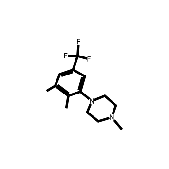 Cc1cc(C(F)(F)F)cc(N2CCN(C)CC2)c1C